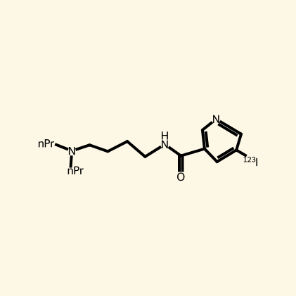 CCCN(CCC)CCCCNC(=O)c1cncc([123I])c1